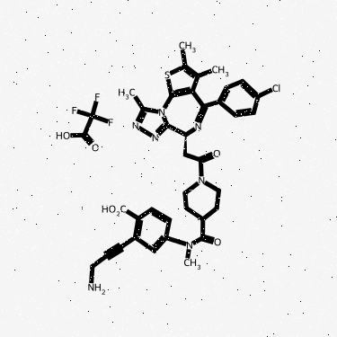 Cc1sc2c(c1C)C(c1ccc(Cl)cc1)=N[C@@H](CC(=O)N1CCC(C(=O)N(C)c3ccc(C(=O)O)c(C#CCN)c3)CC1)c1nnc(C)n1-2.O=C(O)C(F)(F)F